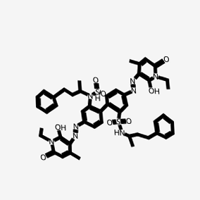 CCn1c(O)c(N=Nc2ccc(-c3ccc(N=Nc4c(C)cc(=O)n(CC)c4O)cc3S(=O)(=O)NC(C)CCc3ccccc3)c(N(C(C)CCc3ccccc3)[SH](=O)=O)c2)c(C)cc1=O